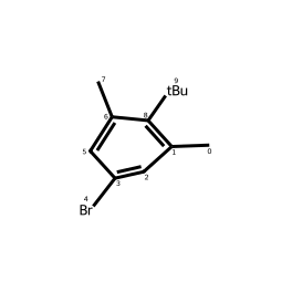 Cc1cc(Br)cc(C)c1C(C)(C)C